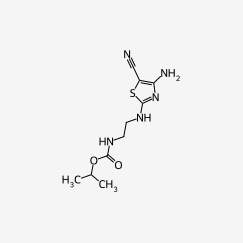 CC(C)OC(=O)NCCNc1nc(N)c(C#N)s1